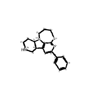 c1ccc(-c2cc3c4c(n2)SCCCN4C2CCNCC32)cc1